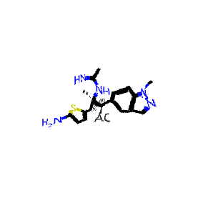 CC(=N)N[C@](C)(c1ccc(N)s1)[C@H](C(C)=O)c1ccc2c(cnn2C)c1